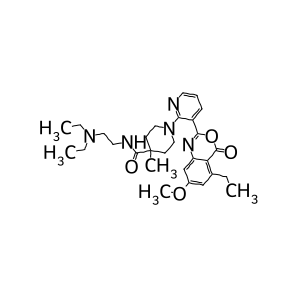 CCc1cc(OC)cc2nc(-c3cccnc3N3CCC(C)(C(=O)NCCN(CC)CC)CC3)oc(=O)c12